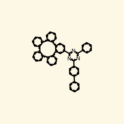 c1ccc(-c2ccc(-c3nc(-c4ccccc4)nc(-c4ccc5c6ccccc6c6ccccc6c6ccccc6c6ccccc6c5c4)n3)cc2)cc1